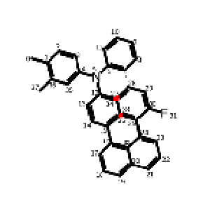 Cc1ccc(N(c2ccccc2)c2ccc(-c3cccc4cccc(-c5ccccc5F)c34)cc2)cc1C